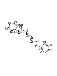 c1ccc(CCSSSCc2nc3ccccc3s2)cc1